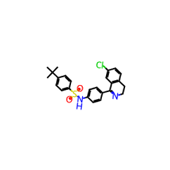 CC(C)(C)c1ccc(S(=O)(=O)Nc2ccc(C3=NCCc4ccc(Cl)cc43)cc2)cc1